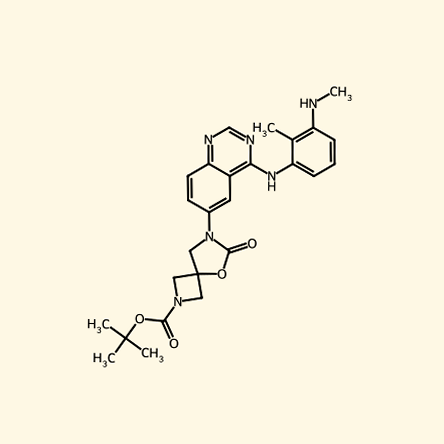 CNc1cccc(Nc2ncnc3ccc(N4CC5(CN(C(=O)OC(C)(C)C)C5)OC4=O)cc23)c1C